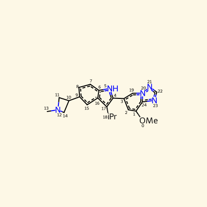 COc1cc(-c2[nH]c3ccc(C4CN(C)C4)cc3c2C(C)C)cn2ncnc12